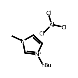 CCCC[n+]1ccn(C)c1.[Cl][Al]([Cl])[Cl]